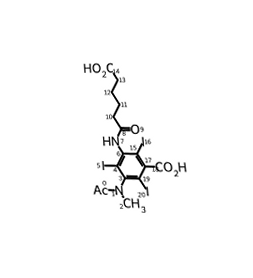 CC(=O)N(C)c1c(I)c(NC(=O)CCCCC(=O)O)c(I)c(C(=O)O)c1I